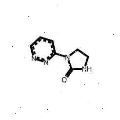 O=C1NCCN1c1cc[c]nn1